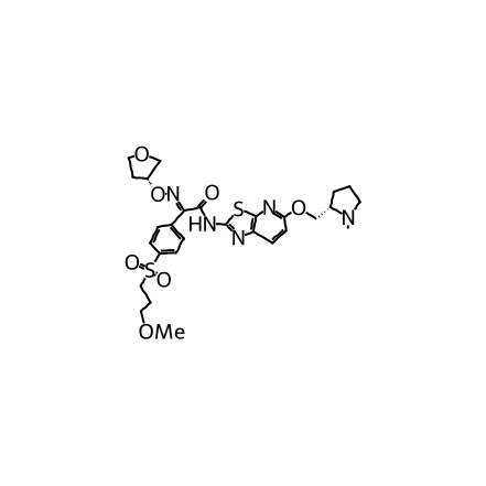 COCCCS(=O)(=O)c1ccc(/C(=N\O[C@@H]2CCOC2)C(=O)Nc2nc3ccc(OC[C@@H]4CCCN4C)nc3s2)cc1